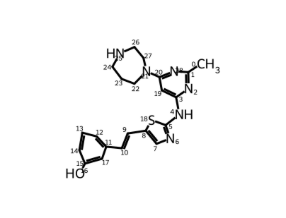 Cc1nc(Nc2ncc(/C=C/c3cccc(O)c3)s2)cc(N2CCCNCC2)n1